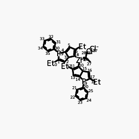 CCC1=CC2C(=CC(CC)=[C]2[Zr+2]([C]2=C(CC)C=C3C2C=C(CC)P3c2ccccc2)=[C](C)C)P1c1ccccc1.[Cl-].[Cl-]